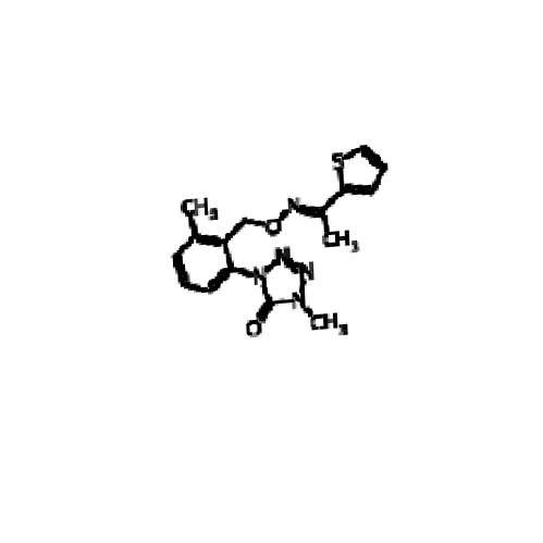 CC(=NOCc1c(C)cccc1-n1nnn(C)c1=O)c1cccs1